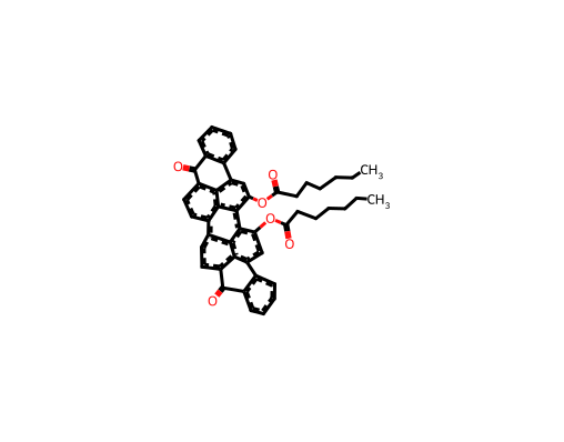 CCCCCCC(=O)Oc1cc2c3c(ccc4c5ccc6c7c(cc(OC(=O)CCCCCC)c(c1c34)c75)-c1ccccc1C6=O)C(=O)c1ccccc1-2